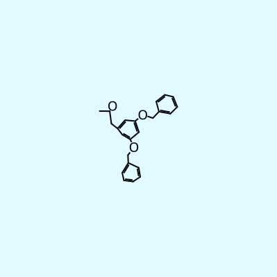 CC(=O)Cc1cc(OCc2ccccc2)cc(OCc2ccccc2)c1